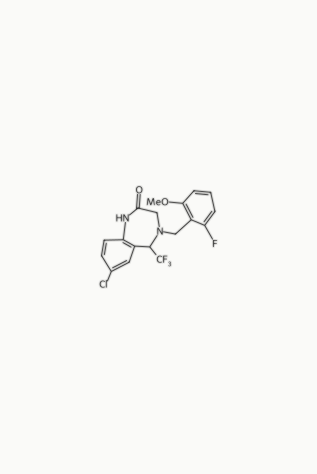 COc1cccc(F)c1CN1CC(=O)Nc2ccc(Cl)cc2C1C(F)(F)F